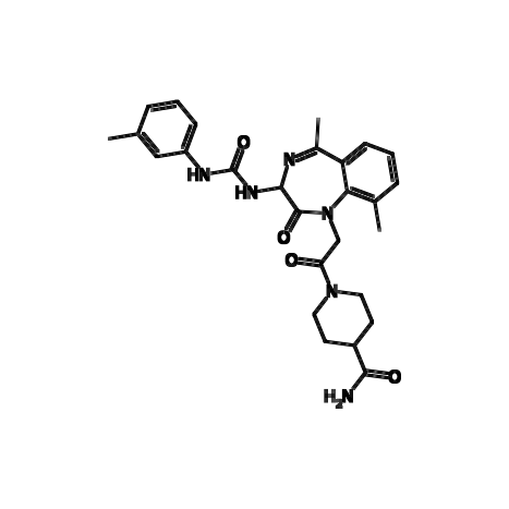 CC1=NC(NC(=O)Nc2cccc(C)c2)C(=O)N(CC(=O)N2CCC(C(N)=O)CC2)c2c(C)cccc21